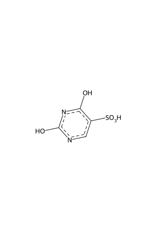 O=S(=O)(O)c1cnc(O)nc1O